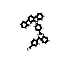 N#Cc1ccc(-c2nc(-c3ccc(-n4c5ccccc5c5ccc6c7ccccc7sc6c54)cc3)nc3ccccc23)cc1